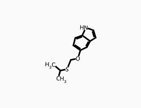 CC(C)SCOc1ccc2[nH]ccc2c1